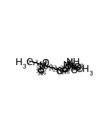 CCCCCCN(C(=O)CCCCCCOc1ccc2c(c1)N=C(N)N(CC(=O)OC)C2)C1CCCCC1